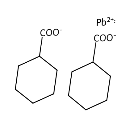 O=C([O-])C1CCCCC1.O=C([O-])C1CCCCC1.[Pb+2]